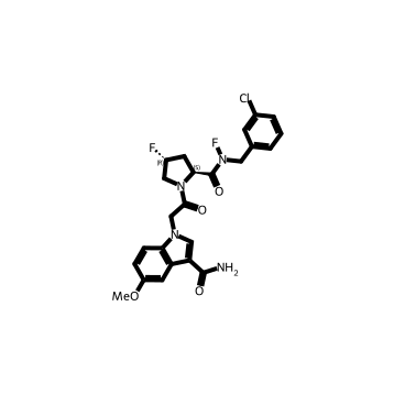 COc1ccc2c(c1)c(C(N)=O)cn2CC(=O)N1C[C@H](F)C[C@H]1C(=O)N(F)Cc1cccc(Cl)c1